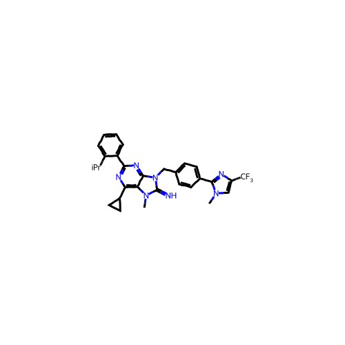 CC(C)c1ccccc1-c1nc(C2CC2)c2c(n1)n(Cc1ccc(-c3nc(C(F)(F)F)cn3C)cc1)c(=N)n2C